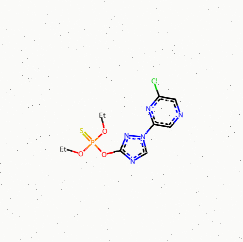 CCOP(=S)(OCC)Oc1ncn(-c2cncc(Cl)n2)n1